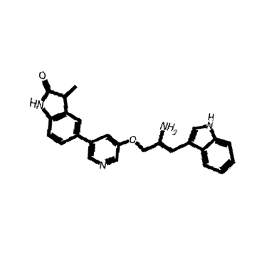 CC1C(=O)Nc2ccc(-c3cncc(OCC(N)Cc4c[nH]c5ccccc45)c3)cc21